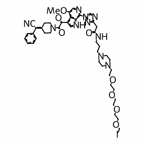 COc1cnc(-n2cnc(CC(=O)NCCCN3CCN(CCOCCOCCOCCOCI)CC3)n2)c2[nH]cc(C(=O)C(=O)N3CCC(=C(C#N)c4ccccc4)CC3)c12